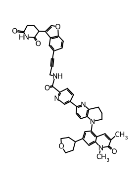 Cc1cc2c(N3CCCc4nc(-c5ccc(C(=O)NCC#Cc6ccc7occ(C8CCC(=O)NC8=O)c7c6)nc5)ccc43)cc(C3CCOCC3)cc2n(C)c1=O